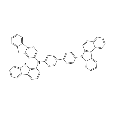 c1ccc2c(c1)Cc1cc(N(c3ccc(-c4ccc(-n5c6ccccc6c6c7ccccc7ccc65)cc4)cc3)c3cccc4c3sc3ccccc34)ccc1-2